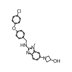 Cn1c(NCc2ccc(Oc3ccc(Cl)cc3)cc2)nc2ccc(N3CC(O)C3)cc21